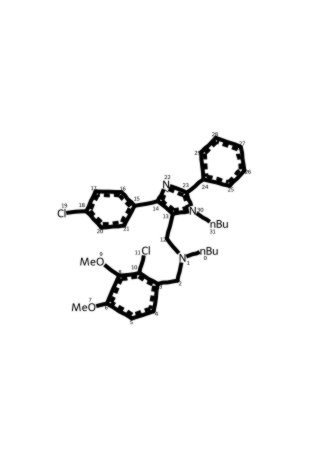 CCCCN(Cc1ccc(OC)c(OC)c1Cl)Cc1c(-c2ccc(Cl)cc2)nc(-c2ccccc2)n1CCCC